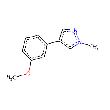 COc1cccc(-c2cnn(C)c2)c1